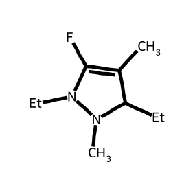 CCC1C(C)=C(F)N(CC)N1C